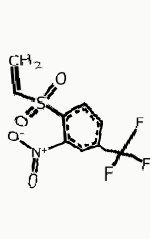 C=CS(=O)(=O)c1ccc(C(F)(F)F)cc1[N+](=O)[O-]